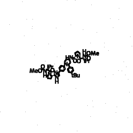 COC(=O)N[C@H](C(=O)N1CCC[C@H]1C(=O)NC1CCN(c2ccc(-c3c[nH]c([C@@H]4CCCN4C(=O)[C@@H](NC(=O)OC)C(C)C)n3)cc2)C(c2ccc(C(C)(C)C)cc2)C1)C(C)C